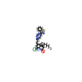 CC1(C)CC(=O)Nc2c(Cl)cc(CCCN3CCN(c4nsc5ccccc45)CC3)cc21